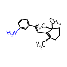 CC1=C(C=Cc2cccc(N)c2)C(C)(C)CCC1